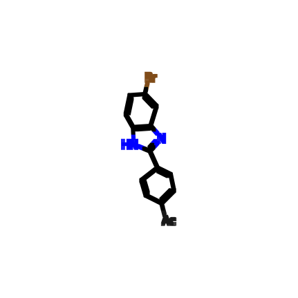 CC(=O)c1ccc(-c2nc3cc(Br)ccc3[nH]2)cc1